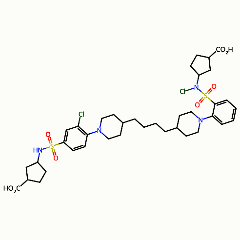 O=C(O)C1CCC(NS(=O)(=O)c2ccc(N3CCC(CCCCC4CCN(c5ccccc5S(=O)(=O)N(Cl)C5CCC(C(=O)O)C5)CC4)CC3)c(Cl)c2)C1